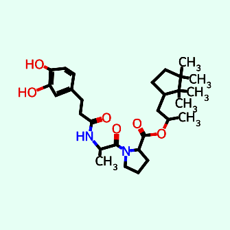 CC(CC1CCC(C)(C)C1(C)C)OC(=O)C1CCCN1C(=O)C(C)NC(=O)CCc1ccc(O)c(O)c1